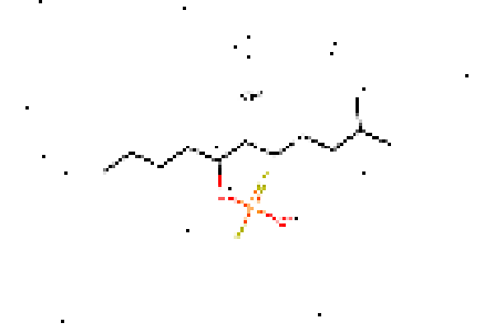 CCCCC(CCCCC(C)C)OP([O-])(=S)[S-].[Zn+2]